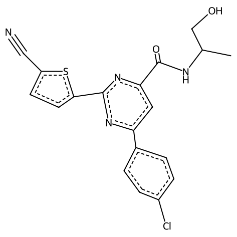 CC(CO)NC(=O)c1cc(-c2ccc(Cl)cc2)nc(-c2ccc(C#N)s2)n1